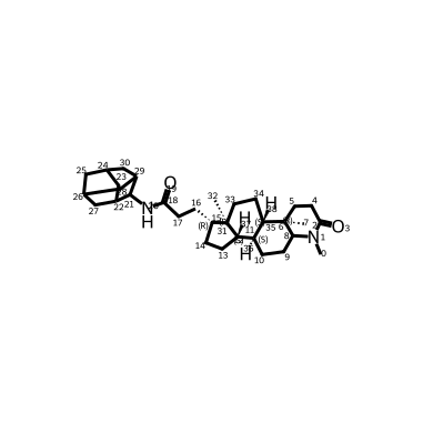 CN1C(=O)CC[C@@]2(C)C1CC[C@H]1[C@@H]3CC[C@H](CCC(=O)NC4C5CC6CC(C5)CC4C6)[C@@]3(C)CC[C@@H]12